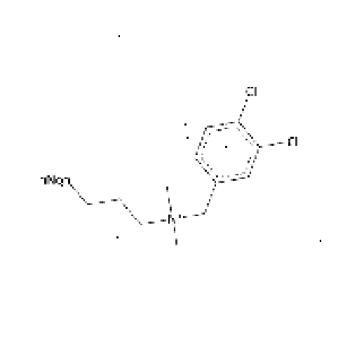 CCCCCCCCCCCC[N+](C)(C)Cc1ccc(Cl)c(Cl)c1